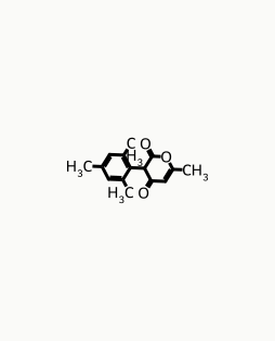 CC1=CC(=O)C(c2c(C)cc(C)cc2C)C(=O)O1